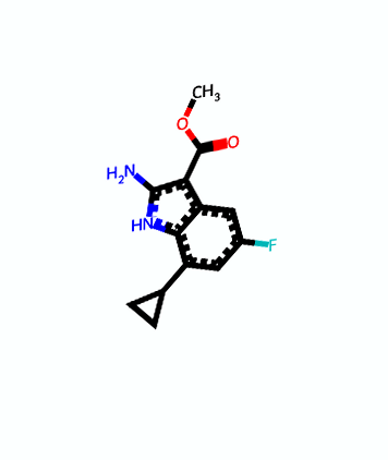 COC(=O)c1c(N)[nH]c2c(C3CC3)cc(F)cc12